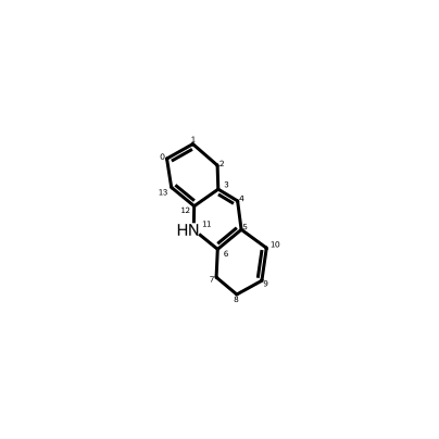 C1=CCC2=CC3=C(CCC=C3)NC2=C1